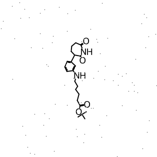 CC(C)(C)OC(=O)CCCCCNc1cccc(C2CCCC(=O)NC2=O)c1